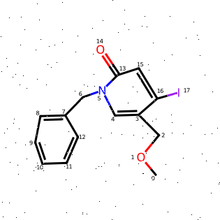 COCc1cn(Cc2ccccc2)c(=O)cc1I